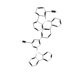 N#Cc1cc(-c2ccc(-c3ccccc3-n3c4ccccc4c4cccc(C#N)c43)cc2)cc(-n2c3ccccc3c3ccccc32)c1